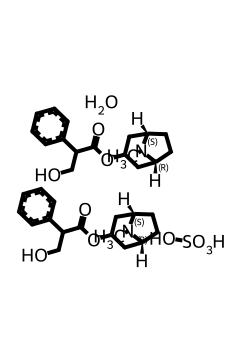 CN1[C@@H]2CC[C@H]1CC(OC(=O)C(CO)c1ccccc1)C2.CN1[C@@H]2CC[C@H]1CC(OC(=O)C(CO)c1ccccc1)C2.O.O=S(=O)(O)O